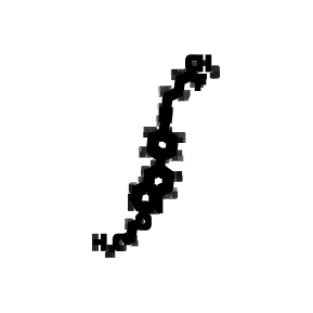 C=CCOc1ncc2cc(-c3ccc(C#CCCCC(C)F)cc3)ccc2n1